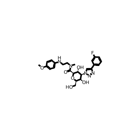 COc1ccc(NCCN(C)C(=O)[C@@H]2O[C@H](CO)[C@H](O)[C@H](n3cc(-c4cccc(F)c4)nn3)[C@H]2O)cc1